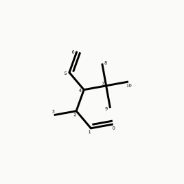 C=CC(C)C(C=C)C(C)(C)C